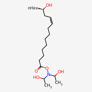 CCCCCC[C@@H](O)C/C=C\CCCCCCCC(=O)ON(C(C)O)C(C)O